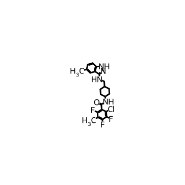 Cc1ccc2[nH]nc(NCC3CCC(NC(=O)c4c(F)c(C)c(F)c(F)c4Cl)CC3)c2c1